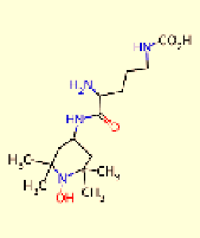 CC1(C)CC(NC(=O)C(N)CCCNC(=O)O)CC(C)(C)N1O